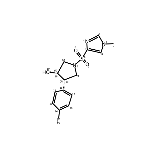 Cn1cnc(S(=O)(=O)N2C[C@H](c3ccc(F)cc3)[C@@H](O)C2)c1